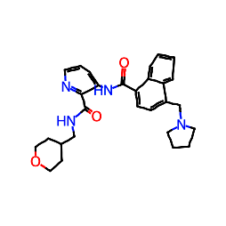 O=C(NCC1CCOCC1)c1ncccc1NC(=O)c1ccc(CN2CCCC2)c2ccccc12